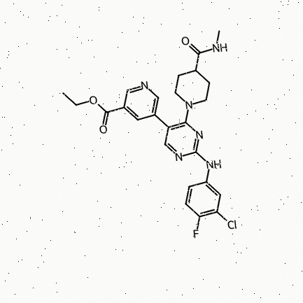 CCOC(=O)c1cncc(-c2cnc(Nc3ccc(F)c(Cl)c3)nc2N2CCC(C(=O)NC)CC2)c1